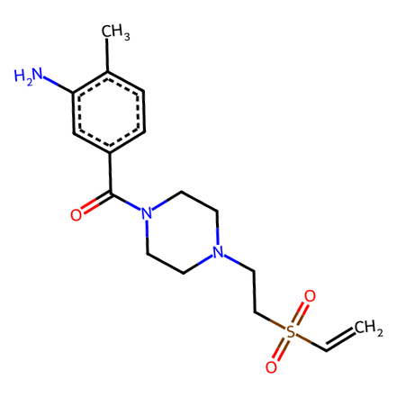 C=CS(=O)(=O)CCN1CCN(C(=O)c2ccc(C)c(N)c2)CC1